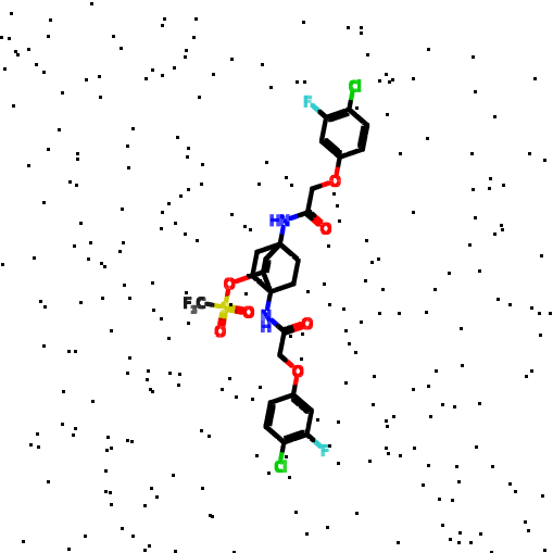 O=C(COc1ccc(Cl)c(F)c1)NC12C=C(OS(=O)(=O)C(F)(F)F)C(NC(=O)COc3ccc(Cl)c(F)c3)(CC1)CC2